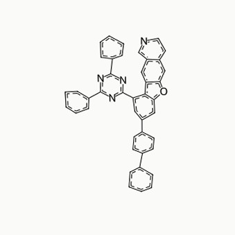 c1ccc(-c2ccc(-c3cc(-c4nc(-c5ccccc5)nc(-c5ccccc5)n4)c4c(c3)oc3cc5ccncc5cc34)cc2)cc1